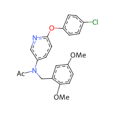 COc1ccc(OC)c(CN(C(C)=O)c2ccc(Oc3ccc(Cl)cc3)nc2)c1